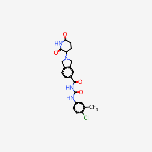 O=C1CCC(N2Cc3ccc(C(=O)NC(=O)Nc4ccc(Cl)c(C(F)(F)F)c4)cc3C2)C(=O)N1